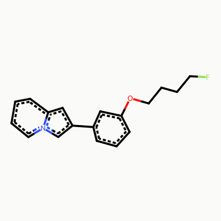 FCCCCOc1cccc(-c2cc3ccccn3c2)c1